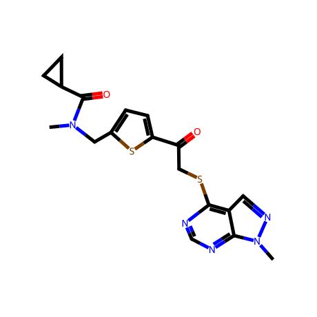 CN(Cc1ccc(C(=O)CSc2ncnc3c2cnn3C)s1)C(=O)C1CC1